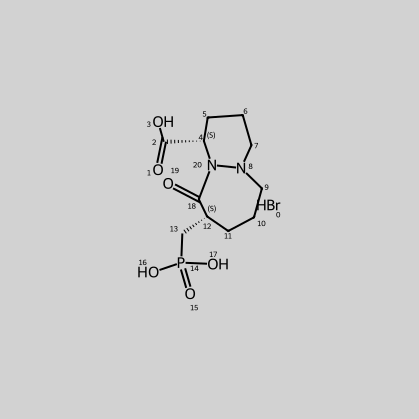 Br.O=C(O)[C@@H]1CCCN2CCC[C@H](CP(=O)(O)O)C(=O)N12